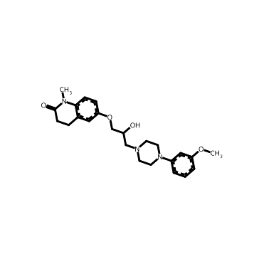 COc1cccc(N2CCN(CC(O)COc3ccc4c(c3)CCC(=O)N4C)CC2)c1